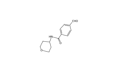 O=Cc1ccc(C(=O)NC2CCOCC2)cc1